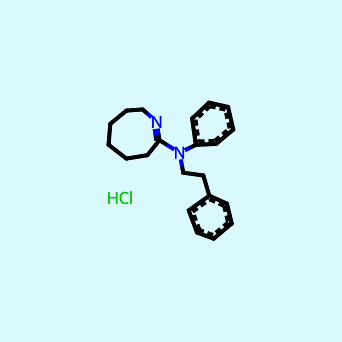 Cl.c1ccc(CCN(/C2=N/CCCCCC2)c2ccccc2)cc1